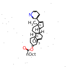 CCCCCCCCC(=O)O[C@H]1CC[C@@]2(C)C(=CC[C@@H]3[C@@H]2CC[C@]2(C)C(c4cccnc4)=CC[C@@H]32)C1